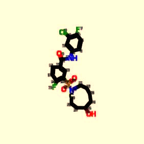 O=C(Nc1ccc(F)c(Cl)c1)c1ccc(F)c(S(=O)(=O)N2CCCCC(O)CCC2)c1